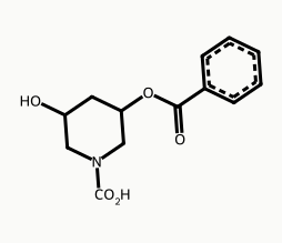 O=C(OC1CC(O)CN(C(=O)O)C1)c1ccccc1